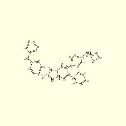 c1ccc(Oc2ccc(Oc3nc4nc(-c5ccc(NC6CCC6)cc5)c(-c5ccccc5)cn4n3)cc2)cc1